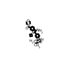 CC(C)CS(=O)(=O)Nc1ccc(-c2c(N)c3ccc(C(=O)N4CCOCC4)cc3n2C2CCC2)cc1